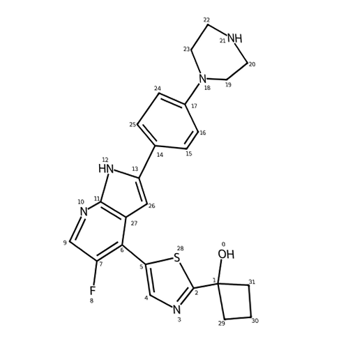 OC1(c2ncc(-c3c(F)cnc4[nH]c(-c5ccc(N6CCNCC6)cc5)cc34)s2)CCC1